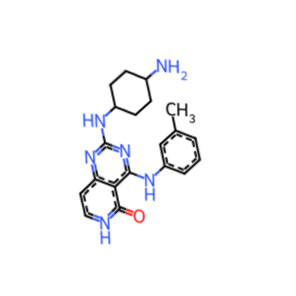 Cc1cccc(Nc2nc(NC3CCC(N)CC3)nc3cc[nH]c(=O)c23)c1